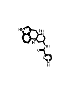 O=C(NC1CN[C@@H]2Cc3c[nH]c4cccc(c34)[C@H]2C1)c1cc[nH]n1